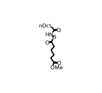 CCCCCCCCC(=O)NOC(=O)CCCCC(=O)OC